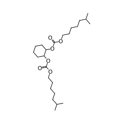 CC(C)CCCCCOC(=O)OC1CCCCC1OC(=O)OCCCCCC(C)C